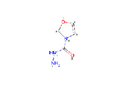 NNC(=O)N1C=COC1